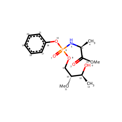 COC(=O)[C@H](C)NP(=O)(OC[C@@H](OC)[C@H](C)O)Oc1ccccc1